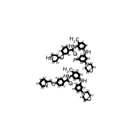 Cc1ccc(Nc2cc(F)cc(N3CCOCC3)c2)cc1NC(=O)c1cccc(OC2CCNCC2)c1.Cc1ccc(Nc2cccc(N3CCOCC3)c2)cc1NC(=O)c1ccc(OCc2ccccn2)cc1